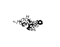 Cc1ccccc1S(=O)(=O)c1nc2[nH]ccc2c2c1nc([C@@H](C)O)n2N1CC[C@H](OC(N)=O)C1